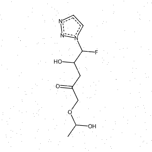 CC(O)OCC(=O)CC(O)C(F)n1ccnn1